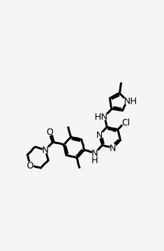 Cc1cc(Nc2nc(Nc3cc(C)c(C(=O)N4CCOCC4)cc3C)ncc2Cl)c[nH]1